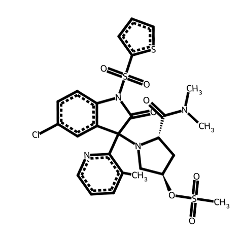 Cc1cccnc1C1(N2C[C@H](OS(C)(=O)=O)C[C@H]2C(=O)N(C)C)C(=O)N(S(=O)(=O)c2cccs2)c2ccc(Cl)cc21